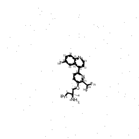 CC(C)C[C@](C)(N)COc1ccc(-c2ccnc3ccc(F)cc23)nc1C(F)F